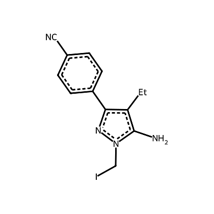 CCc1c(-c2ccc(C#N)cc2)nn(CI)c1N